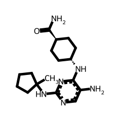 CC1(Nc2ncc(N)c(N[C@H]3CC[C@H](C(N)=O)CC3)n2)CCCC1